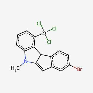 CN1C2=Cc3cc(Br)ccc3C2c2c1ccc[c]2[Zr]([Cl])([Cl])[Cl]